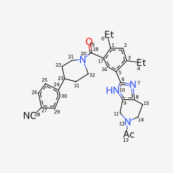 CCc1cc(CC)c(-c2nc3c([nH]2)CN(C(C)=O)CC3)cc1C(=O)N1CCC(c2ccc(C#N)cc2)CC1